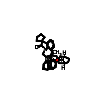 Cc1nc2ccccc2n1[C@H]1C[C@H]2CC[C@@H](C1)N2CCC1(c2ccccc2)CCN(C(=O)C2(c3ccccc3)CCCC2)CC1